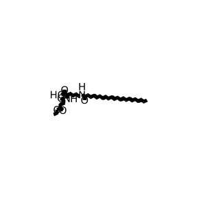 CCC=CCC=CCC=CCC=CCC=CCC=CCCC(=O)NCCCCC(NC(=O)C=CC(=O)OCC)C(=O)O